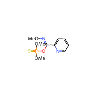 CON=C(OP(=S)(OC)OC)c1ccccn1